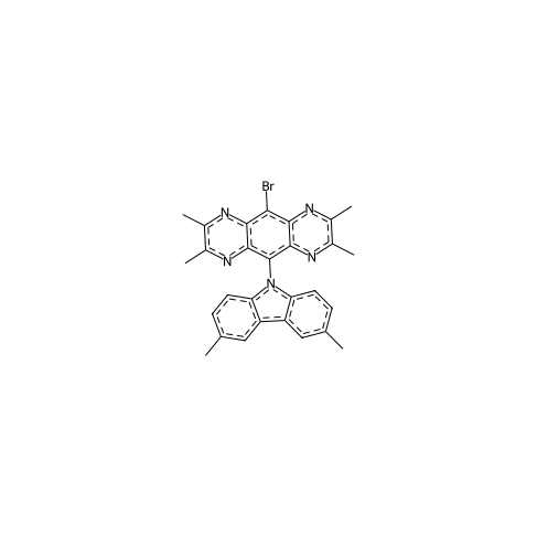 Cc1ccc2c(c1)c1cc(C)ccc1n2-c1c2nc(C)c(C)nc2c(Br)c2nc(C)c(C)nc12